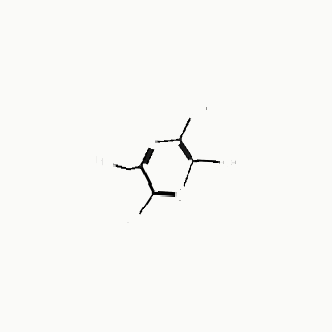 OC1=NC(O)=C(O)OC1O